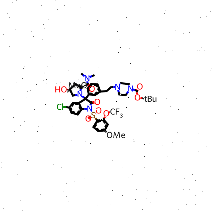 COc1ccc(S(=O)(=O)N2C(=O)C(c3cc(CCN4CCN(C(=O)OC(C)(C)C)CC4)ccc3OC)(N3C[C@H](O)C[C@H]3C(=O)N(C)C)c3cc(Cl)ccc32)c(OC(F)(F)F)c1